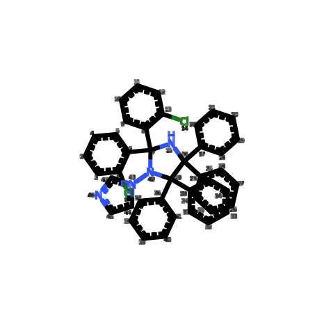 Clc1ccccc1C1(c2ccccc2Cl)NC(c2ccccc2)(c2ccccc2)C(c2ccccc2)(c2ccccc2)N1n1ccnc1